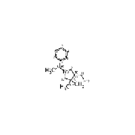 C[C@H](c1ccccc1)N1C[C@H](CF)C(C)(C)C1